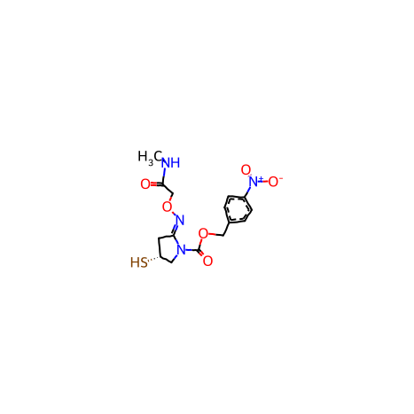 CNC(=O)CON=C1C[C@@H](S)CN1C(=O)OCc1ccc([N+](=O)[O-])cc1